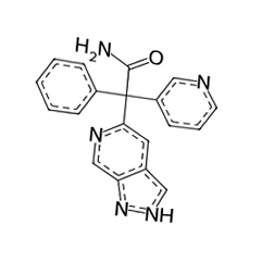 NC(=O)C(c1ccccc1)(c1cccnc1)c1cc2c[nH]nc2cn1